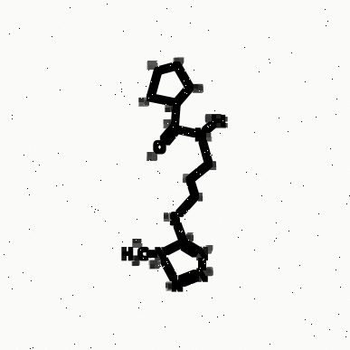 CCN(CCCSc1nnnn1C)C(=O)C1CCCC1